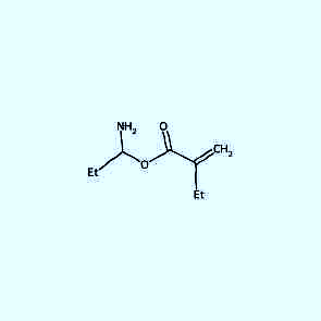 C=C(CC)C(=O)OC(N)CC